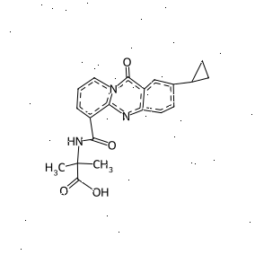 CC(C)(NC(=O)c1cccn2c(=O)c3cc(C4CC4)ccc3nc12)C(=O)O